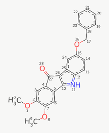 COc1cc2c(cc1OC)-c1[nH]c3ccc(OCc4ccccc4)cc3c1C2=O